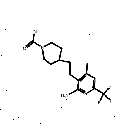 Cc1nc(C(F)(F)F)nc(N)c1CCC1CCN(C(=O)O)CC1